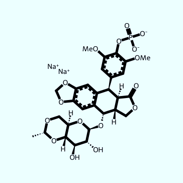 COc1cc([C@@H]2c3cc4c(cc3[C@@H](O[C@@H]3O[C@@H]5CO[C@@H](C)O[C@H]5[C@H](O)[C@H]3O)[C@H]3COC(=O)[C@H]23)OCO4)cc(OC)c1OP(=O)([O-])[O-].[Na+].[Na+]